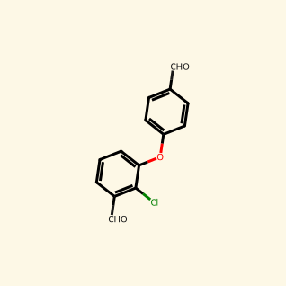 O=Cc1ccc(Oc2cccc(C=O)c2Cl)cc1